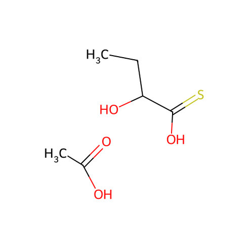 CC(=O)O.CCC(O)C(O)=S